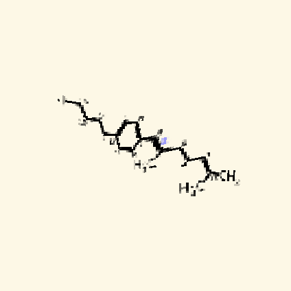 CC(C)=CCC/C(C)=C/c1ccc(CCCCI)cc1